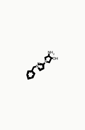 NC1CN(c2ccn(Cc3ccccc3)n2)CC1O